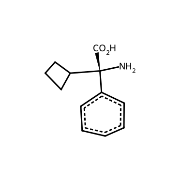 N[C@](C(=O)O)(c1ccccc1)C1CCC1